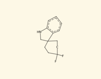 FC1(F)CCC2(CC1)CNc1ccccc12